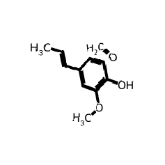 C=O.CC=Cc1ccc(O)c(OC)c1